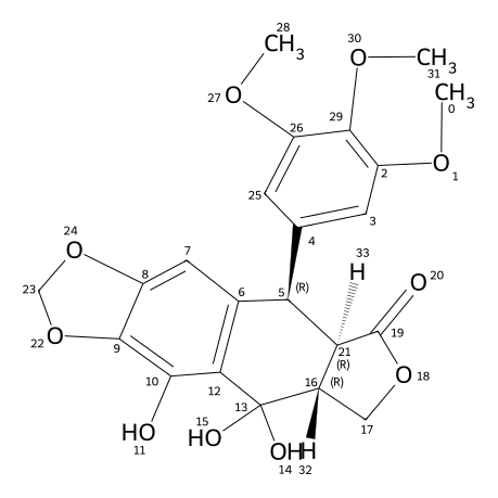 COc1cc([C@@H]2c3cc4c(c(O)c3C(O)(O)[C@H]3COC(=O)[C@H]23)OCO4)cc(OC)c1OC